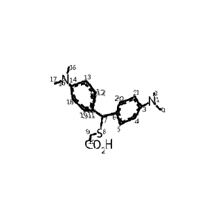 CN(C)c1ccc(C(SCC(=O)O)c2ccc(N(C)C)cc2)cc1